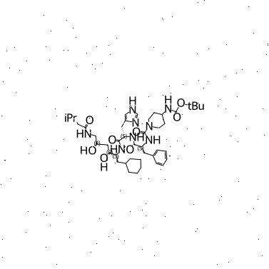 CC(C)CC(=O)NC[C@H](O)C[C@H](O)[C@H](CC1CCCCC1)NC(=O)[C@H](Cc1c[nH]cn1)NC(=O)[C@H](Cc1ccccc1)NC(=O)N1CCC(NC(=O)OC(C)(C)C)CC1